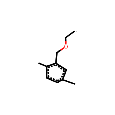 [CH2]COCc1cc(C)ccc1C